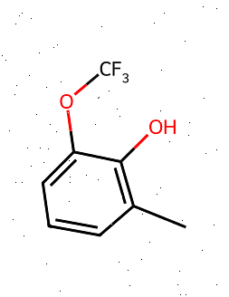 Cc1cccc(OC(F)(F)F)c1O